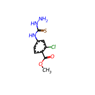 COC(=O)c1ccc(NC(=S)NN)cc1Cl